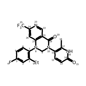 CCc1cc(F)ccc1N1CN(c2ccc(=O)[nH]c2C)C(=O)c2cnc(C(F)(F)F)cc21